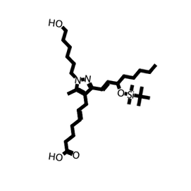 CCCCCC(C=Cc1nn(CCCCCCO)c(C)c1CC=CCCCC(=O)O)O[Si](C)(C)C(C)(C)C